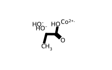 CCC(=O)O.[Co+2].[OH-].[OH-]